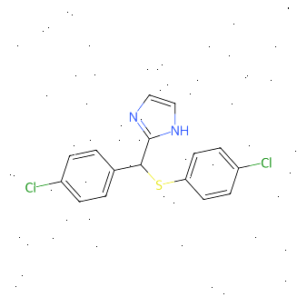 Clc1ccc(SC(c2ccc(Cl)cc2)c2ncc[nH]2)cc1